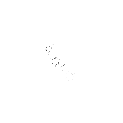 Cc1ccc(Sc2ccc(C(=O)N[C@@H]3C[C@H]4CC[C@@H]3N4)cc2)[nH]1